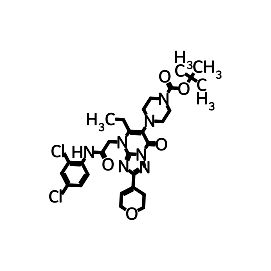 CCc1c(N2CCN(C(=O)OC(C)(C)C)CC2)c(=O)n2nc(C3=CCOCC3)nc2n1CC(=O)Nc1ccc(Cl)cc1Cl